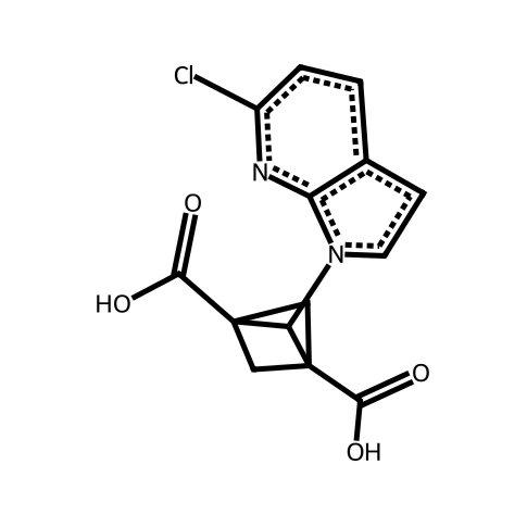 O=C(O)C12CC(C(=O)O)(C1)C2n1ccc2ccc(Cl)nc21